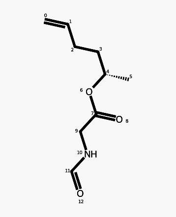 C=CCC[C@H](C)OC(=O)CNC=O